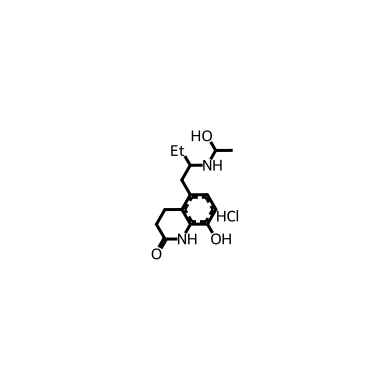 CCC(Cc1ccc(O)c2c1CCC(=O)N2)NC(C)O.Cl